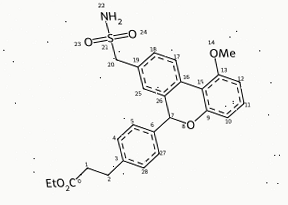 CCOC(=O)CCc1ccc(C2Oc3cccc(OC)c3-c3ccc(CS(N)(=O)=O)cc32)cc1